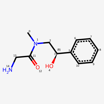 CN(C[C@H](O)c1ccccc1)C(=O)CN